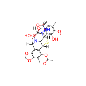 C=CCN1[C@@H]2Cc3cc(C)c(OC)c(O)c3[C@H]1C1[C@@H]3SCC(NC(C)=O)C(=O)OC[C@@H](c4c5c(c(C)c(OC(C)=O)c43)OCO5)N1[C@H]2O